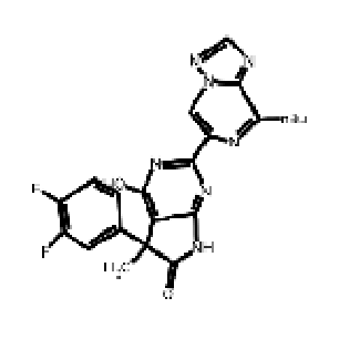 CCCCc1nc(-c2nc(O)c3c(n2)NC(=O)C3(C)c2ccc(F)c(F)c2)cn2ncnc12